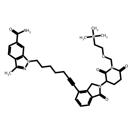 Cc1nn(CCCCCC#Cc2cccc3c2CN(C2CCC(=O)N(COCC[Si](C)(C)C)C2=O)C3=O)c2cc(C(N)=O)ccc12